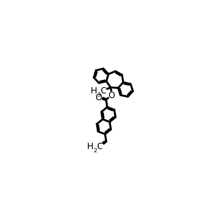 C=Cc1ccc2cc(C(=O)OC3(C)c4ccccc4C=Cc4ccccc43)ccc2c1